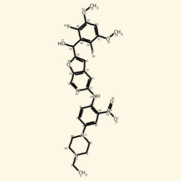 CCN1CCN(c2ccc(Nc3cc4cc(C(O)c5c(F)c(OC)cc(OC)c5F)oc4cn3)c([N+](=O)[O-])c2)CC1